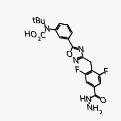 CC(C)(C)N(C(=O)O)c1cccc(-c2nc(Cc3c(F)cc(C(=O)NN)cc3F)no2)c1